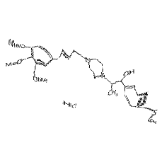 COc1cc(C=CCN2CCN(C(C)C(O)c3ccc(SC(C)C)cc3)CC2)cc(OC)c1OC.Cl